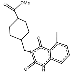 COC(=O)C1CCC(Cn2c(=O)[nH]c3cccc(C)c3c2=O)CC1